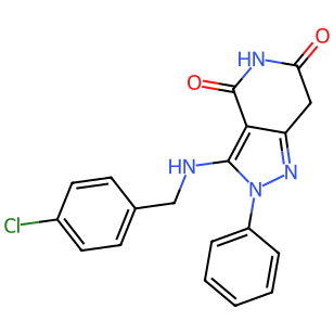 O=C1Cc2nn(-c3ccccc3)c(NCc3ccc(Cl)cc3)c2C(=O)N1